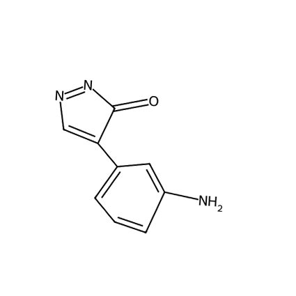 Nc1cccc(C2=CN=NC2=O)c1